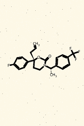 C=CC[C@]1(c2ccc(F)cc2)CCN([C@@H](C)c2ccc(C(F)(F)F)cc2)C(=O)O1